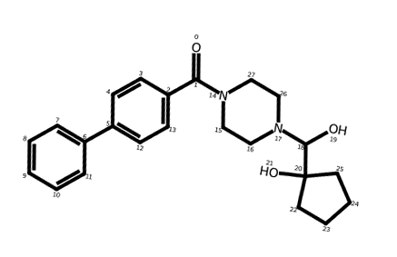 O=C(c1ccc(-c2ccccc2)cc1)N1CCN(C(O)C2(O)CCCC2)CC1